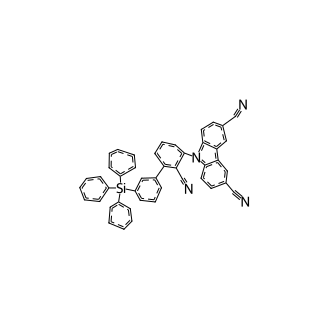 N#Cc1ccc2c(c1)c1cc(C#N)ccc1n2-c1cccc(-c2cccc([Si](c3ccccc3)(c3ccccc3)c3ccccc3)c2)c1C#N